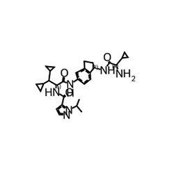 CC(C)n1nccc1C(=O)N[C@H](C(=O)Nc1ccc2c(c1)CC[C@H]2NC(=O)[C@H](N)C1CC1)C(C1CC1)C1CC1